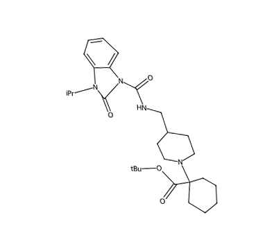 CC(C)n1c(=O)n(C(=O)NCC2CCN(C3(C(=O)OC(C)(C)C)CCCCC3)CC2)c2ccccc21